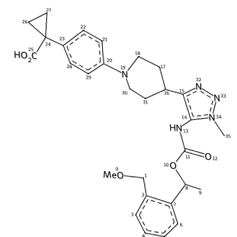 COCc1ccccc1C(C)OC(=O)Nc1c(C2CCN(c3ccc(C4(C(=O)O)CC4)cc3)CC2)nnn1C